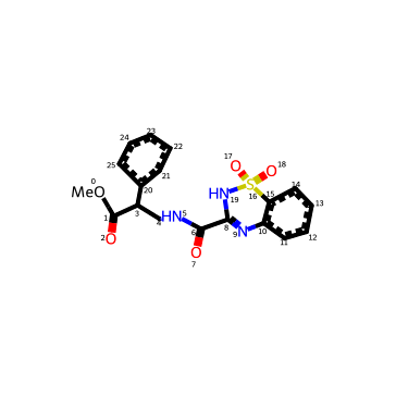 COC(=O)C(CNC(=O)C1=Nc2ccccc2S(=O)(=O)N1)c1ccccc1